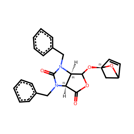 O=C1OC(O[C@]23C=CC(C2)O3)[C@H]2[C@@H]1N(Cc1ccccc1)C(=O)N2Cc1ccccc1